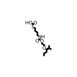 CCCC(OCCOC(=O)NCCCCSC(=O)O)=C(C)C